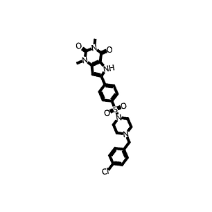 Cn1c(=O)c2[nH]c(-c3ccc(S(=O)(=O)N4CCN(Cc5ccc(Cl)cc5)CC4)cc3)cc2n(C)c1=O